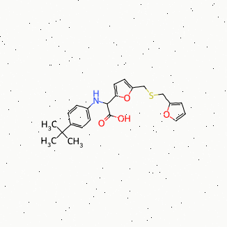 CC(C)(C)c1ccc(NC(C(=O)O)c2ccc(CSCc3ccco3)o2)cc1